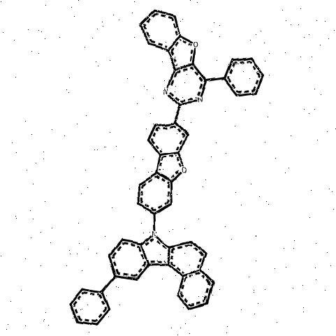 c1ccc(-c2ccc3c(c2)c2c4ccccc4ccc2n3-c2ccc3c(c2)oc2cc(-c4nc(-c5ccccc5)c5oc6ccccc6c5n4)ccc23)cc1